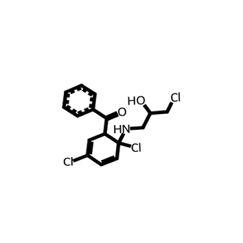 O=C(c1ccccc1)C1C=C(Cl)C=CC1(Cl)NCC(O)CCl